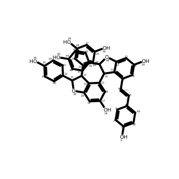 Oc1ccc(/C=C/c2cc(O)cc3c2C(c2cc(O)cc4c2C(c2cc(O)cc(O)c2)C(c2ccc(O)cc2)O4)C(c2ccc(O)cc2)O3)cc1